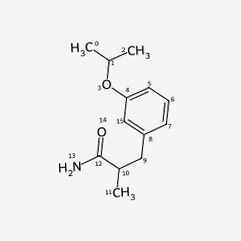 CC(C)Oc1cccc(CC(C)C(N)=O)c1